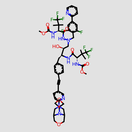 COC(=O)N[C@H](C(=O)N[C@@H](Cc1ccc(C#Cc2ccc(N3CC4COCC(C3)N4C3COC3)nc2)cc1)[C@@H](O)CN(Cc1c(F)cc(-c2ccccn2)cc1F)NC(=O)[C@@H](NC(=O)OC)C(C)(C)C(F)(F)F)C(C)(C)C(F)(F)F